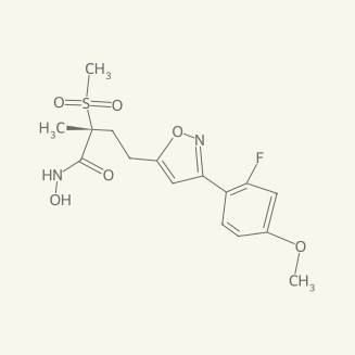 COc1ccc(-c2cc(CC[C@](C)(C(=O)NO)S(C)(=O)=O)on2)c(F)c1